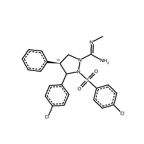 CN=C(N)N1C[C@H](c2ccccc2)C(c2ccc(Cl)cc2)N1S(=O)(=O)c1ccc(Cl)cc1